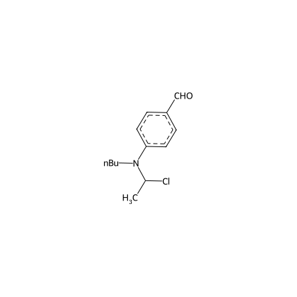 CCCCN(c1ccc(C=O)cc1)C(C)Cl